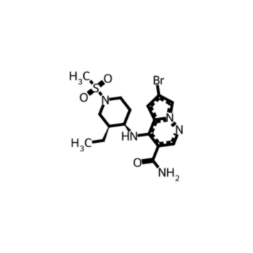 CC[C@H]1CN(S(C)(=O)=O)CC[C@H]1Nc1c(C(N)=O)cnn2cc(Br)cc12